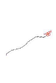 O=P(O)(O)OCCCCCCCCCCCCCCCCCCCCCCCCCCCCCCCCCCCCCI